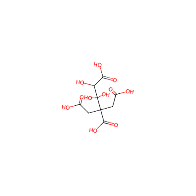 O=C(O)CC(CC(=O)O)(C(=O)O)C(O)(O)C(O)C(=O)O